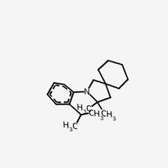 CC(C)c1ccccc1N1CC2(CCCCC2)CC1(C)C